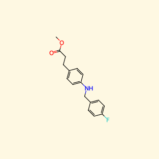 COC(=O)CCc1ccc(NCc2ccc(F)cc2)cc1